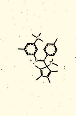 CC1=C(C)[C](C([SiH2]c2cc(C)cc([Si](C)(C)C)c2)c2ccc(C)cc2)([Ti]([CH3])[CH3])C(C)=C1C